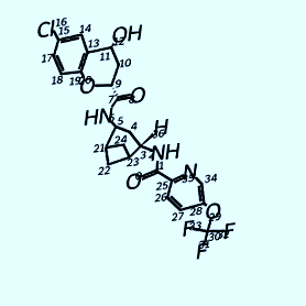 O=C(N[C@H]1CC(NC(=O)[C@H]2C[C@@H](O)c3cc(Cl)ccc3O2)C2CC1C2)c1ccc(OC(F)(F)F)cn1